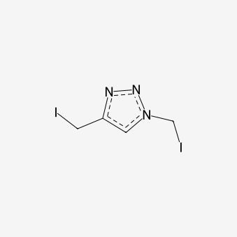 ICc1cn(CI)nn1